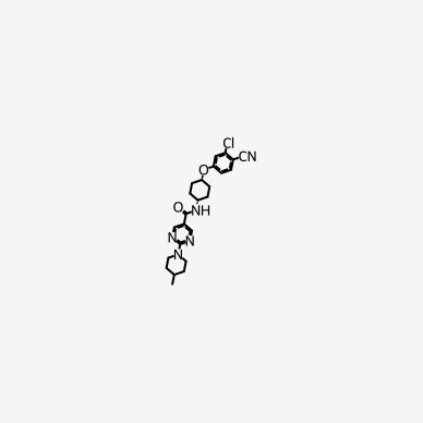 CC1CCN(c2ncc(C(=O)N[C@H]3CC[C@H](Oc4ccc(C#N)c(Cl)c4)CC3)cn2)CC1